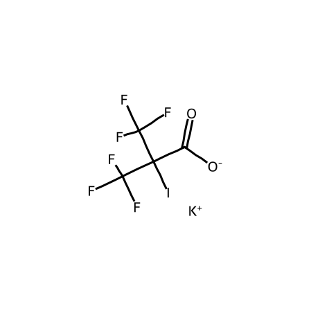 O=C([O-])C(I)(C(F)(F)F)C(F)(F)F.[K+]